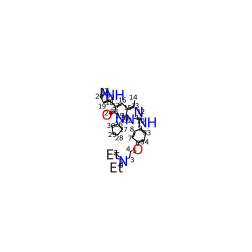 CCN(CC)CCOc1ccc(Nc2nc(C)c3cc(-c4ccn[nH]4)c(=O)n(C4CCCC4)c3n2)cc1